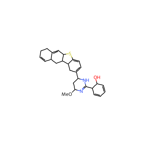 COC1CC(C2=CC=C3SC4C=C5CCC=CC5CC4C3C2)NC(C2C=CC=CC2O)=N1